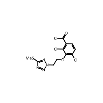 CSc1nnn(CCOc2c(Cl)ccc(C(=O)Cl)c2Cl)n1